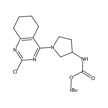 CC(C)(C)OC(=O)NC1CCN(c2nc(Cl)nc3c2CCCC3)C1